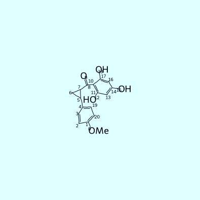 COc1ccc(C2CC2C(=O)c2c(O)cc(O)cc2O)cc1